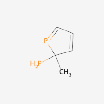 CC1(P)C=CC=P1